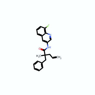 C=CCC(C)(Cc1ccccc1)C(=O)Nc1cnc2c(F)cccc2c1